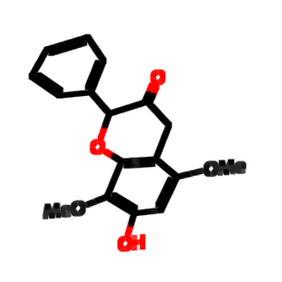 COc1cc(O)c(OC)c2c1CC(=O)C(c1ccccc1)O2